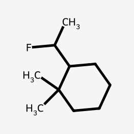 CC(F)C1CCCCC1(C)C